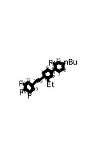 CCCCc1ccc(-c2ccc(C#Cc3cc(F)c(F)c(F)c3)c(CC)c2)c(F)c1